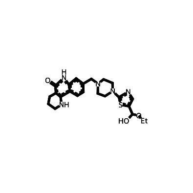 CCOC(O)c1cnc(N2CCN(Cc3ccc4c5c(c(=O)[nH]c4c3)CCCN5)CC2)s1